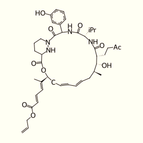 C=CCOC(=O)/C=C/C=C(\C)[C@@H]1C/C=C/C=C/C[C@H](C)[C@@H](O)[C@@H](CCC(C)=O)C(=O)N[C@@H](C(C)C)C(=O)NC(c2cccc(O)c2)C(=O)N2CCCC(N2)C(=O)O1